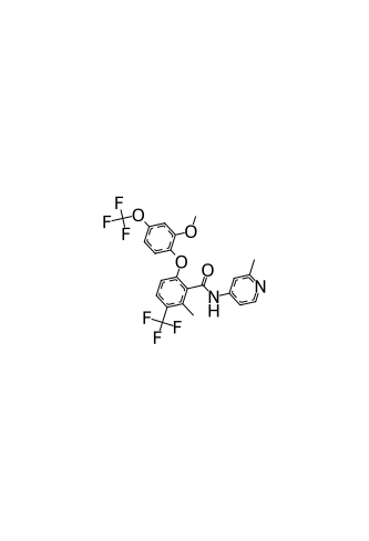 COc1cc(OC(F)(F)F)ccc1Oc1ccc(C(F)(F)F)c(C)c1C(=O)Nc1ccnc(C)c1